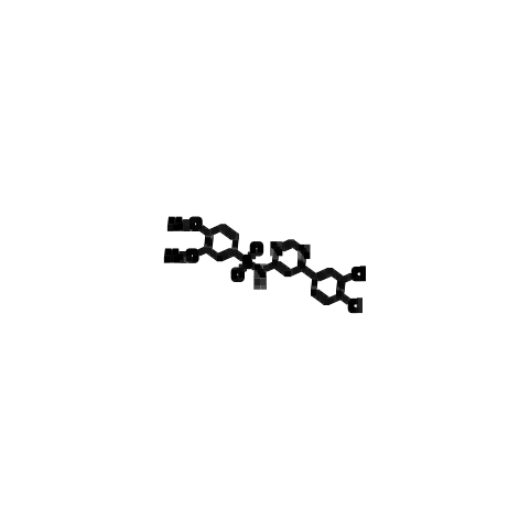 COc1ccc(S(=O)(=O)Nc2cc(-c3ccc(Cl)c(Cl)c3)ncn2)cc1OC